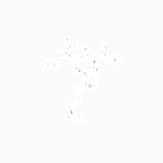 C=CCONc1nc(NCCC)nc(NCCC)n1.Cl